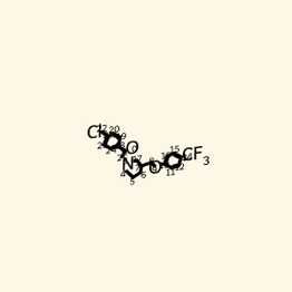 O=C(CN1CCCC(COc2ccc(C(F)(F)F)cc2)C1)c1ccc(Cl)cc1